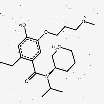 CCCc1cc(O)c(OCCCOC)cc1C(=O)N(C(C)C)[C@@H]1CCC[SiH2]C1